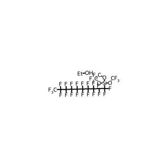 CCO.FC(F)(F)O[Si](OC(F)(F)F)(OC(F)(F)F)C(F)(F)C(F)(F)C(F)(F)C(F)(F)C(F)(F)C(F)(F)C(F)(F)C(F)(F)C(F)(F)C(F)(F)F